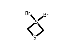 BrS1(Br)CSC1